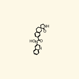 O=C(c1ccc2c(c1)C[C@]1(CCNC1=O)CC2)N(O)c1cnc2ccccc2c1